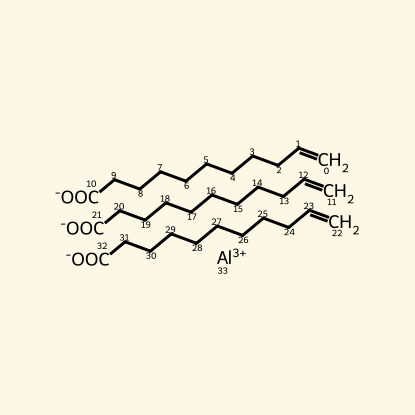 C=CCCCCCCCCC(=O)[O-].C=CCCCCCCCCC(=O)[O-].C=CCCCCCCCCC(=O)[O-].[Al+3]